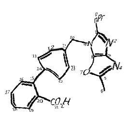 CCCc1nc2nc(C)oc2n1Cc1ccc(-c2ccccc2C(=O)O)cc1